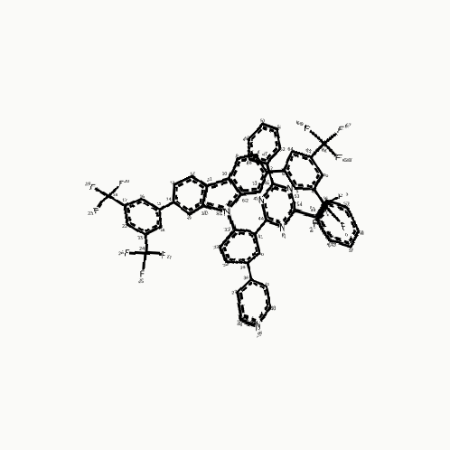 FC(F)(F)c1cc(-c2ccc3c4ccc(-c5cc(C(F)(F)F)cc(C(F)(F)F)c5)cc4n(-c4ccc(-c5ccncc5)cc4-c4nc(-c5ccccc5)nc(-c5ccccc5)n4)c3c2)cc(C(F)(F)F)c1